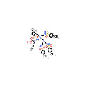 CCCCC(NS(=O)(=O)c1ccc(C)cc1CCN(CCNS(=O)(=O)c1ccc(C)cc1)CCN(CCNS(=O)(=O)c1ccc(C)cc1)CCNS(=O)(=O)c1ccc(C)cc1)C(=O)O